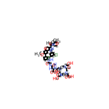 COc1cc2c(cc1-c1cccc(NC(=O)CNC(=O)C[C@@H](NC(=O)CN3CCN(CC(=O)O)CCN(CC(=O)O)CCN(CC(=O)O)CC3)C(=O)O)c1)-c1c(c(C(=O)N3CCOCC3(C)C)nn1-c1cc(Cl)cc(Cl)c1)CO2